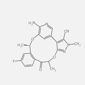 CC1Oc2nn(C)c(C#N)c2-c2cnc(N)c(c2)O[C@H](C)c2cc(F)ccc2C1=O